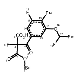 CCC(C)OC(=O)C(F)(C(=O)O)C(=O)c1cc(F)c(F)c(OC(F)F)c1